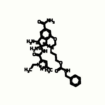 CCn1nc(C)cc1C(=O)N[C@@]1(N)[C@@H]2c3c(cc(C(N)=O)cc3[C@@H]1N)OC[C@H]2CCCOC(=O)NCc1ccccc1